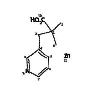 CC(C)(Cc1cccnc1)C(=O)O.[Zn]